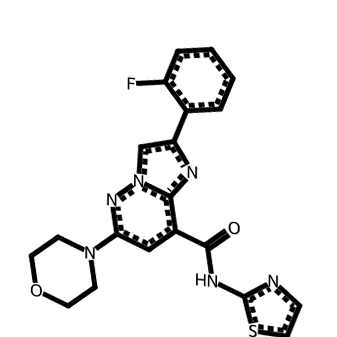 O=C(Nc1nccs1)c1cc(N2CCOCC2)nn2cc(-c3ccccc3F)nc12